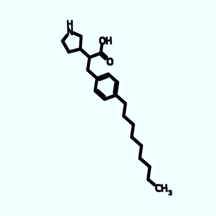 CCCCCCCCCc1ccc(CC(C(=O)O)C2CCNC2)cc1